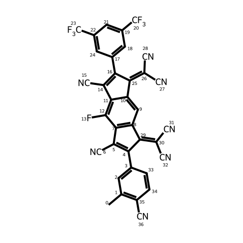 Cc1cc(C2=C(C#N)c3c(cc4c(c3F)C(C#N)=C(c3cc(C(F)(F)F)cc(C(F)(F)F)c3)C4=C(C#N)C#N)C2=C(C#N)C#N)ccc1C#N